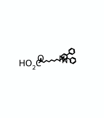 O=C(O)C(=O)CCCCCCCN1CC=C(c2ccccc2)C(c2ccccc2)=N1